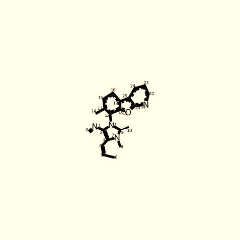 C=NC1=C(/C=C\C)N(C)[C@H](C)N1c1c(C)ccc2c1oc1ncccc12